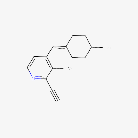 C#Cc1nccc(C=C2CCC(C(C)(C)C)CC2)c1OC